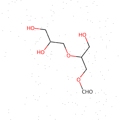 O=COCC(CO)OCC(O)CO